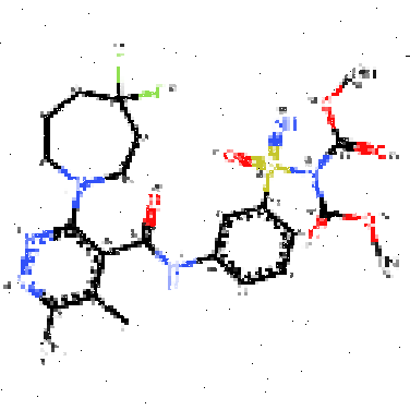 Cc1c(C(F)(F)F)nnc(N2CCCC(F)(F)CC2)c1C(=O)Nc1cccc(S(=N)(=O)N(C(=O)OC(C)(C)C)C(=O)OC(C)(C)C)c1